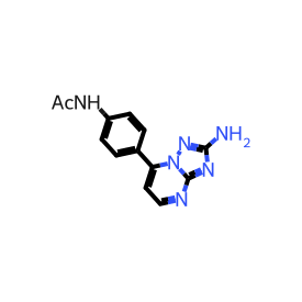 CC(=O)Nc1ccc(-c2ccnc3nc(N)nn23)cc1